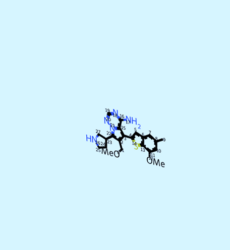 COCc1c(-c2cc3cc(C)cc(OC)c3s2)c2c(N)ncnn2c1C1CCNC1